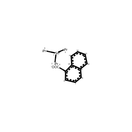 C[CH](C)[Sn+]([CH](C)C)[CH](C)C.O=C([O-])c1cccc2ccccc12